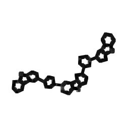 c1cc(-c2ccc3oc4ccccc4c3c2)cc(-c2ccc3sc4ccc(-c5ccc(-c6ccc7oc8ccccc8c7c6)cc5)cc4c3c2)c1